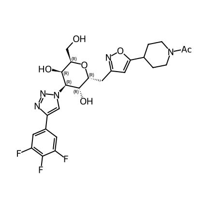 CC(=O)N1CCC(c2cc(C[C@H]3O[C@H](CO)[C@H](O)[C@H](n4cc(-c5cc(F)c(F)c(F)c5)nn4)[C@H]3O)no2)CC1